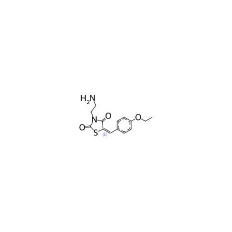 CCOc1ccc(/C=C2/SC(=O)N(CCN)C2=O)cc1